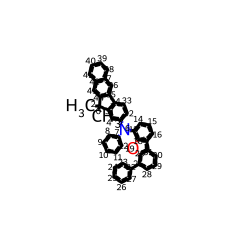 CC1(C)c2cc(N(c3ccccc3)c3cccc4c3oc3c(-c5ccccc5)cccc34)ccc2-c2cc3ccccc3cc21